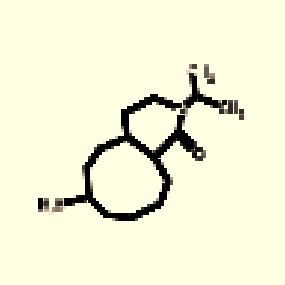 BC1CCCCC2C(=O)N(C(C)C)CCC2CC1